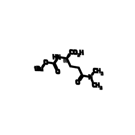 CN(C)C(=O)CC[C@@H](NC(=O)OC(C)(C)C)C(=O)O